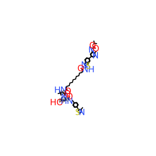 Cc1ncc(-c2ccc3nc(NC(=O)CCCCCCCCCCC(=O)N[C@H](C(=O)N4C[C@H](O)C[C@H]4C(=O)NCc4ccc(-c5scnc5C)cc4)C(C)(C)C)sc3c2)cc1N(C)C(=O)OC(C)C